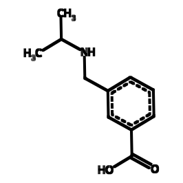 CC(C)NCc1cccc(C(=O)O)c1